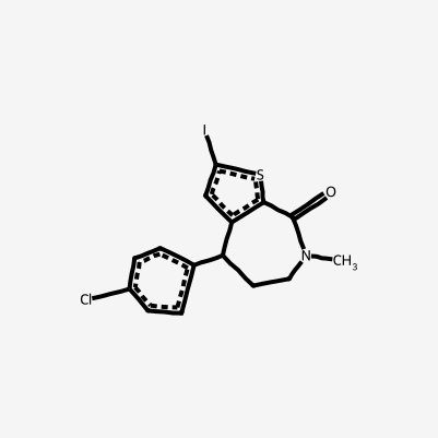 CN1CCC(c2ccc(Cl)cc2)c2cc(I)sc2C1=O